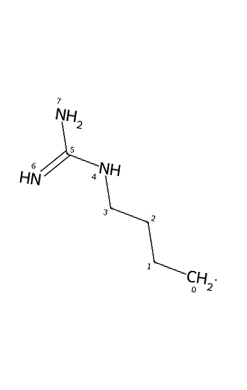 [CH2]CCCNC(=N)N